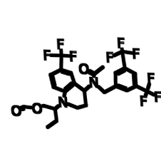 CCC(COC=O)N1CCC(N(Cc2cc(C(F)(F)F)cc(C(F)(F)F)c2)C(C)=O)c2cc(C(F)(F)F)ccc21